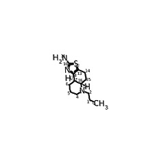 CCCN1CCC[C@H]2c3nc(N)sc3CC[C@@H]21